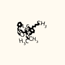 CCCCCc1ccc(CN(CC(C)C)C(=O)C2CN(Cc3ccccc3)CCO2)cc1C